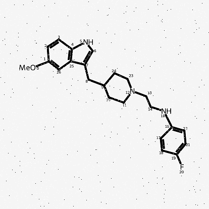 COc1ccc2[nH]cc(CC3CCN(CCNc4ccc(F)cc4)CC3)c2c1